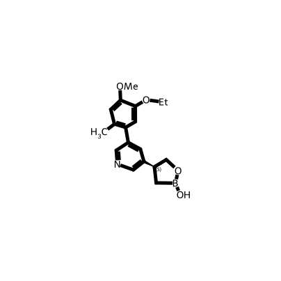 CCOc1cc(-c2cncc([C@H]3COB(O)C3)c2)c(C)cc1OC